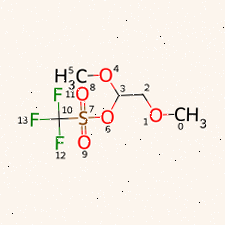 COCC(OC)OS(=O)(=O)C(F)(F)F